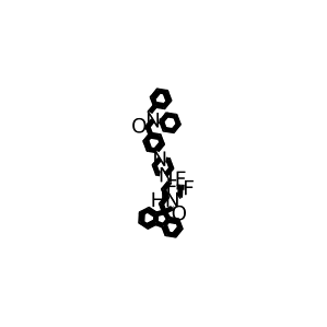 O=C(c1ccc(N2CCN(CCCCC3(C(=O)NCC(F)(F)F)c4ccccc4-c4ccccc43)CC2)cc1)N(Cc1ccccc1)C1CCCCC1